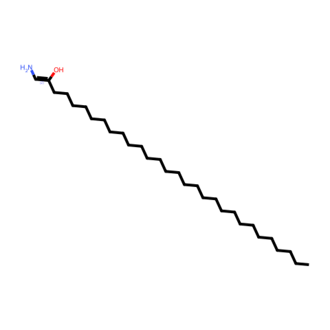 CCCCCCCCCCCCCCCCCCCCCCCCCCCC/C(O)=C/N